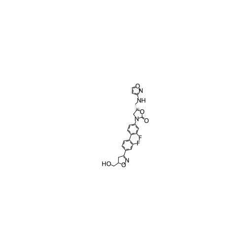 O=C1O[C@@H](CNc2ccon2)CN1c1ccc(-c2ccc(C3=NOC(CO)C3)cc2F)c(F)c1